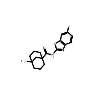 CC12CCCC(C(=O)Nc3nc4ccc(Cl)cc4s3)(CCC1)C2